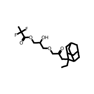 CCC1(CC(=O)COCC(O)COC(=O)C(C)(F)F)C2CC3CC(C2)CC1C3